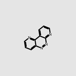 c1cnc2c(c1)nnc1ncccc12